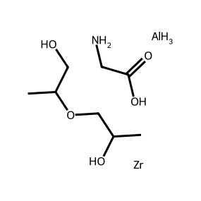 CC(O)COC(C)CO.NCC(=O)O.[AlH3].[Zr]